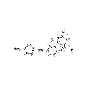 N#Cc1cnc(C#Cc2ccc(F)c([C@@]3(CF)N=C(N)S[C@@]4(CF)C[C@H]43)c2)cn1